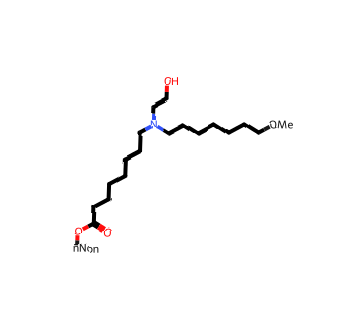 CCCCCCCCCOC(=O)CCCCCCCN(CCO)CCCCCCCOC